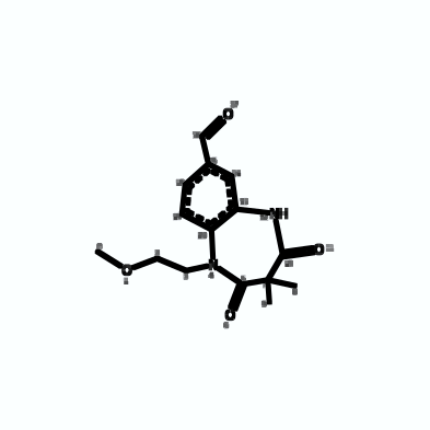 COCCN1C(=O)C(C)(C)C(=O)Nc2cc(C=O)ccc21